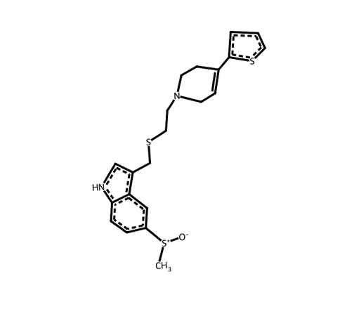 C[S+]([O-])c1ccc2[nH]cc(CSCCN3CC=C(c4cccs4)CC3)c2c1